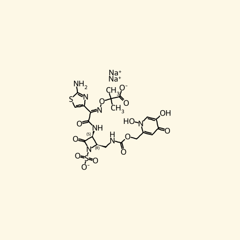 CC(C)(ON=C(C(=O)N[C@@H]1C(=O)N(S(=O)(=O)[O-])[C@@H]1CNC(=O)OCc1cc(=O)c(O)cn1O)c1csc(N)n1)C(=O)[O-].[Na+].[Na+]